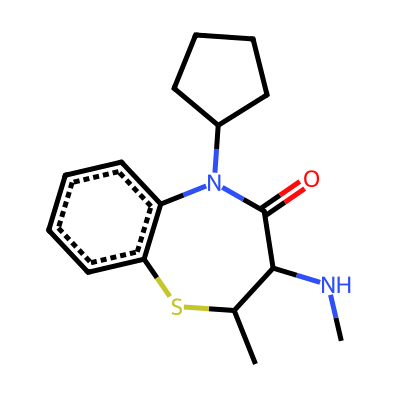 CNC1C(=O)N(C2CCCC2)c2ccccc2SC1C